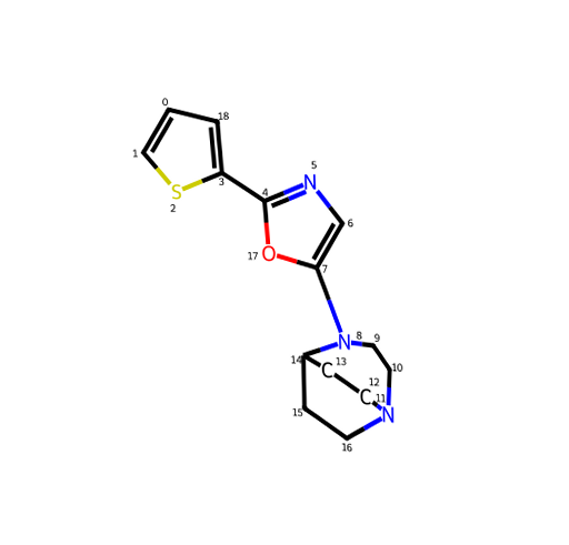 c1csc(-c2ncc(N3CCN4CCC3CC4)o2)c1